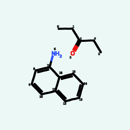 CCC(=O)CC.Nc1cccc2ccccc12